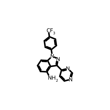 Nc1cccc2c1c(-c1ccncn1)nn2-c1ccc(C(F)(F)F)cc1